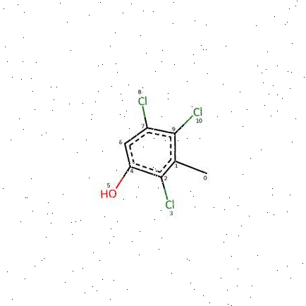 Cc1c(Cl)c(O)cc(Cl)c1Cl